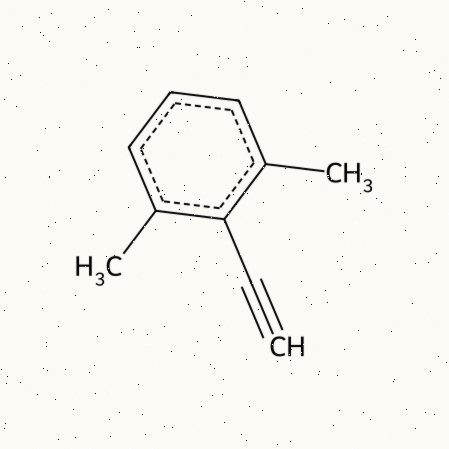 C#Cc1c(C)cccc1C